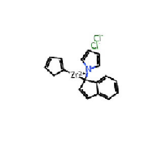 C1=CC[C]([Zr+2][C]2(n3cccc3)C=Cc3ccccc32)=C1.[Cl-].[Cl-]